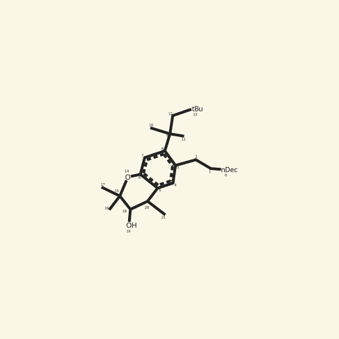 CCCCCCCCCCCCc1cc2c(cc1C(C)(C)CC(C)(C)C)OC(C)(C)C(O)C2C